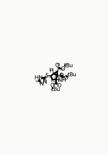 CC(C)(C)OC(=O)N[C@@]1(C(=O)OC(C)(C)C)C[C@@H](Sc2nnc[nH]2)[C@H]2[C@H](C(=O)OC(C)(C)C)[C@H]21